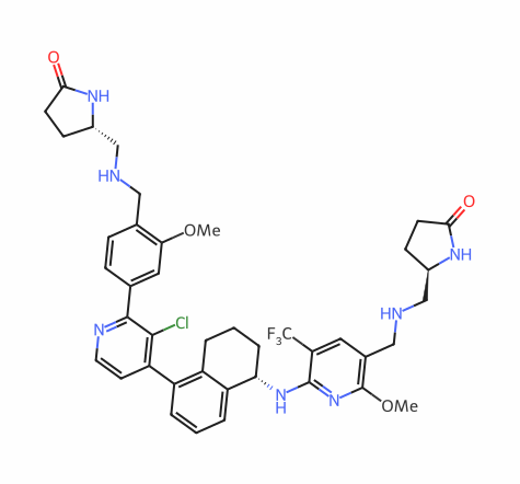 COc1cc(-c2nccc(-c3cccc4c3CCC[C@@H]4Nc3nc(OC)c(CNC[C@H]4CCC(=O)N4)cc3C(F)(F)F)c2Cl)ccc1CNC[C@@H]1CCC(=O)N1